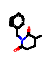 CC1CCC(=O)N(Cc2ccccc2)C1=O